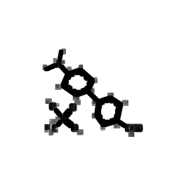 C[S+](C)c1ccc(-c2ccc(C=O)cc2)cc1.O=S(=O)([O-])C(F)(F)F